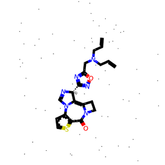 C=CCN(CC=C)Cc1nc([C@H]2N=CN3C2=C2CCN2C(=O)c2sccc23)no1